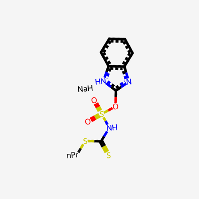 CCCSC(=S)NS(=O)(=O)Oc1nc2ccccc2[nH]1.[NaH]